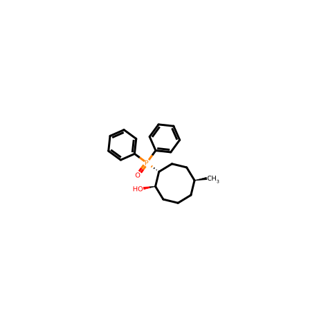 C[C@H]1CCC[C@@H](O)[C@H](P(=O)(c2ccccc2)c2ccccc2)CC1